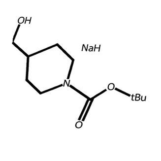 CC(C)(C)OC(=O)N1CCC(CO)CC1.[NaH]